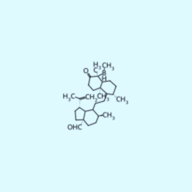 C=C(C)[C@H]1CC[C@]2(C=O)CC[C@H](C)C(CCC3[C@@H](C)CCC4[C@]3(C)CCC(=O)[C@@]4(C)BC)C12